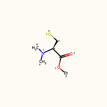 CCOC(=O)[C@H](CS)N(C)C